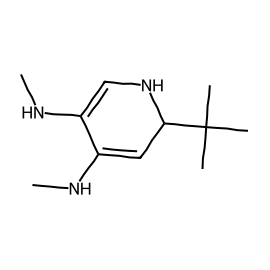 CNC1=CNC(C(C)(C)C)C=C1NC